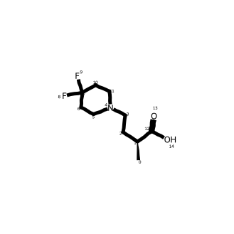 C[C@@H](CCN1CCC(F)(F)CC1)C(=O)O